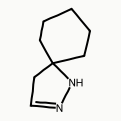 C1=NNC2(C1)CCCCC2